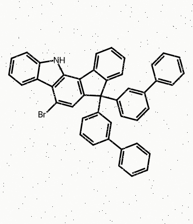 Brc1cc2c(c3[nH]c4ccccc4c13)-c1ccccc1C2(c1cccc(-c2ccccc2)c1)c1cccc(-c2ccccc2)c1